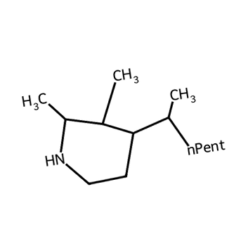 CCCCCC(C)C1CCNC(C)C1C